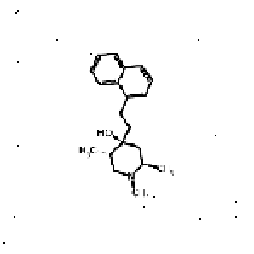 C[C@@H]1C[C@@](O)(CCc2cccc3ccccc23)[C@@H](C)CN1C